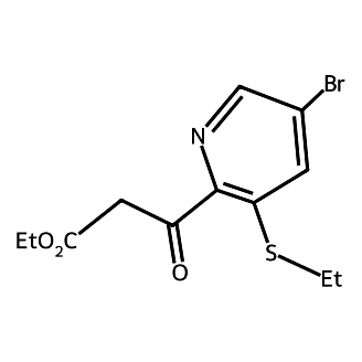 CCOC(=O)CC(=O)c1ncc(Br)cc1SCC